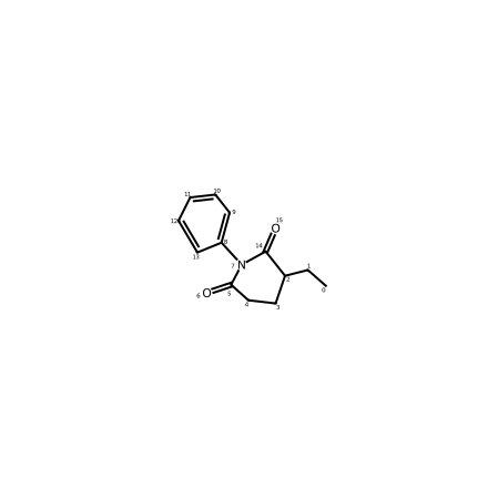 CCC1CCC(=O)N(c2ccccc2)C1=O